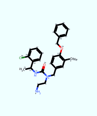 COc1cc(CN(CCN)C(=O)NC(C)c2ccccc2Cl)ccc1OCc1ccccc1